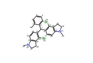 Cc1ccccc1C(c1ccc2c(c1Br)CCN2C)c1ccc2c(c1Br)CCN2C